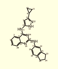 c1ccc2c(Nc3cc(C4CC4)n[nH]3)nc(Nc3ccc4c(c3)CCC4)nc2c1